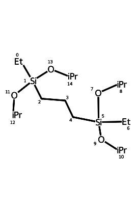 CC[Si](CCC[Si](CC)(OC(C)C)OC(C)C)(OC(C)C)OC(C)C